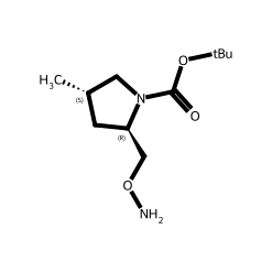 C[C@H]1C[C@H](CON)N(C(=O)OC(C)(C)C)C1